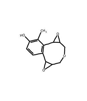 Cc1c(O)ccc2c1C1OC1COCC1OC21